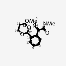 CNC(=O)C(=NOC)c1ccccc1C1OCCCO1